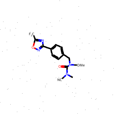 CON(Cc1ccc(-c2noc(C(F)(F)F)n2)cc1)C(=O)N(C)C#N